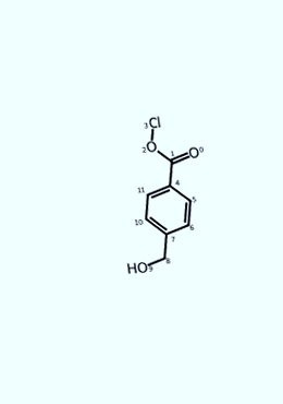 O=C(OCl)c1ccc(CO)cc1